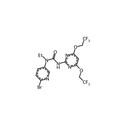 CCN(C(=O)Nc1nc(OCC(F)(F)F)cc(OCC(F)(F)F)n1)c1ccc(Br)nc1